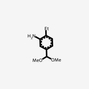 CCc1ccc(C(OC)OC)cc1N